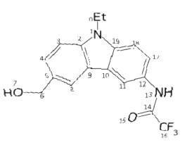 CCn1c2ccc(CO)cc2c2cc(NC(=O)C(F)(F)F)ccc21